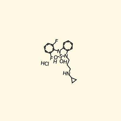 Cl.OS1(O)N(CCCNC2CC2)c2ccccc2N1c1c(F)cccc1F